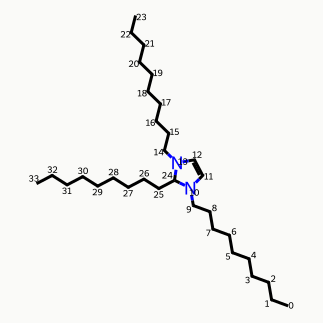 CCCCCCCCCCN1C=CN(CCCCCCCCCC)C1CCCCCCCCC